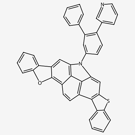 c1ccc(-c2cc(-n3c4cc5c6ccccc6oc5c5ccc6c7c(cc3c6c54)sc3ccccc37)ccc2-c2cccnc2)cc1